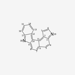 C1=Cc2c(ccc3ccc4c(c23)=c2ccccc2=N4)=N1